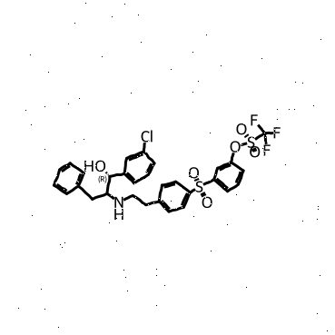 O=S(=O)(c1ccc(CCNC(Cc2ccccc2)[C@H](O)c2cccc(Cl)c2)cc1)c1cccc(OS(=O)(=O)C(F)(F)F)c1